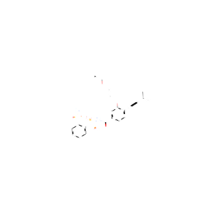 CC(C)C#Cc1ccc(C(=O)NS(=O)(=O)c2ccccc2S(N)(=O)=O)cc1OCCOCC(F)(F)F